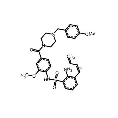 C=C/C=C\c1cccc(S(=O)(=O)Nc2ccc(C(=O)N3CCN(Cc4ccc(OC)cc4)CC3)cc2OC(F)(F)F)c1N